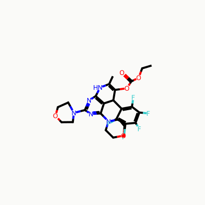 CCOC(=O)OC1=C(C)Nc2nc(N3CCOCC3)nc(N3CCOCC3)c2C1c1c(F)c(F)c(F)c(F)c1F